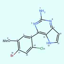 COc1cc(-c2nc(N)nc3cc[nH]c23)c(Cl)cc1Br